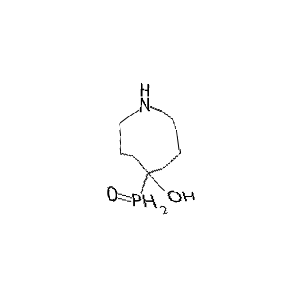 O=[PH2]C1(O)CCNCC1